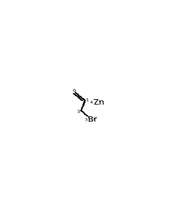 C=CCBr.[Zn]